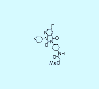 COCC(=O)NC1CCC(n2c(=O)c3cc(F)cnc3n(C3CCSCC3)c2=O)CC1